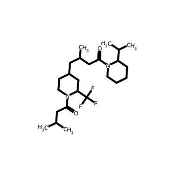 CC(C)CC(=O)N1CCC(CC(C)CC(=O)N2CCCCC2C(C)C)CC1C(F)(F)F